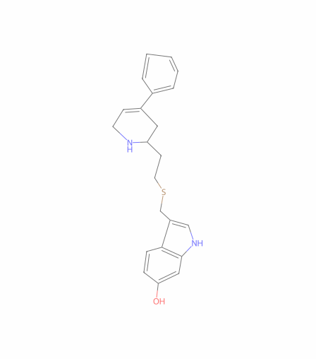 Oc1ccc2c(CSCCC3CC(c4ccccc4)=CCN3)c[nH]c2c1